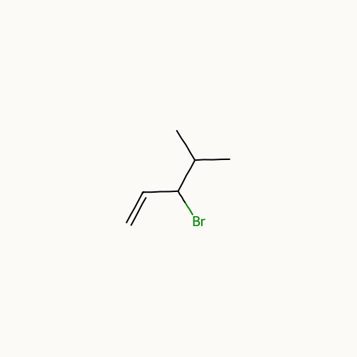 C=CC(Br)C(C)C